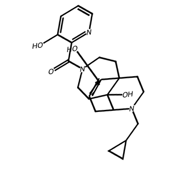 O=C(c1ncccc1O)N1CCC23CCN(CC4CC4)C(Cc4ccc(O)cc42)C3(O)CC1